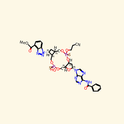 COC(=O)c1cccc2c1nnn2[C@@H]1C[C@@H]2COP(=S)(OCCC#N)O[C@H]3C[C@H](n4cnc5c(NC(=O)c6ccccc6)ncnc54)O[C@@H]3COP(O)(=S)OC[C@H]21